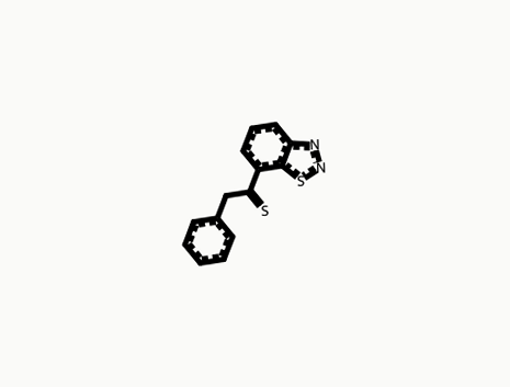 S=C(Cc1ccccc1)c1cccc2nnsc12